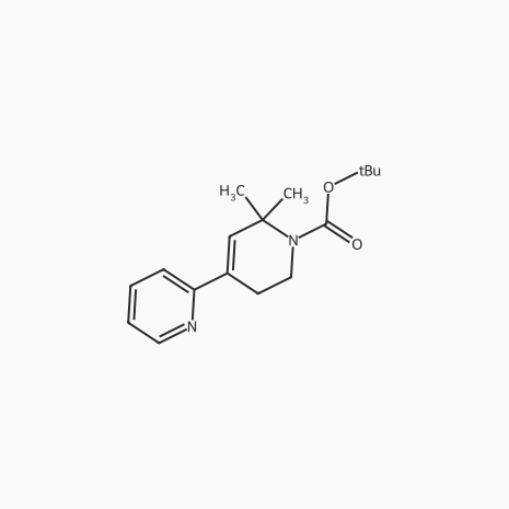 CC(C)(C)OC(=O)N1CCC(c2ccccn2)=CC1(C)C